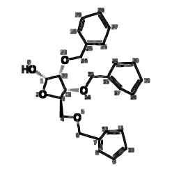 O[C@H]1O[C@H](COCc2ccccc2)[C@@H](OCc2ccccc2)[C@H]1OCc1ccccc1